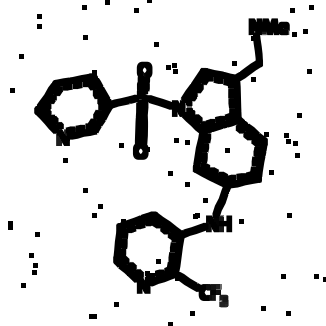 CNCc1cn(S(=O)(=O)c2cccnc2)c2cc(Nc3cccnc3C(F)(F)F)ccc12